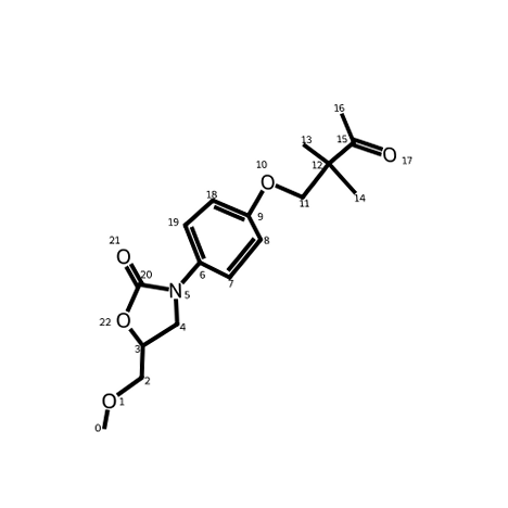 COCC1CN(c2ccc(OCC(C)(C)C(C)=O)cc2)C(=O)O1